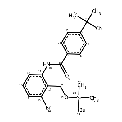 CC(C)(C#N)c1ccc(C(=O)Nc2cccc(Br)c2CO[Si](C)(C)C(C)(C)C)cc1